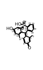 CC1=CC(=O)C=C/C1=C(\c1ccc(O)cc1C)c1ccccc1S(=O)(=O)O